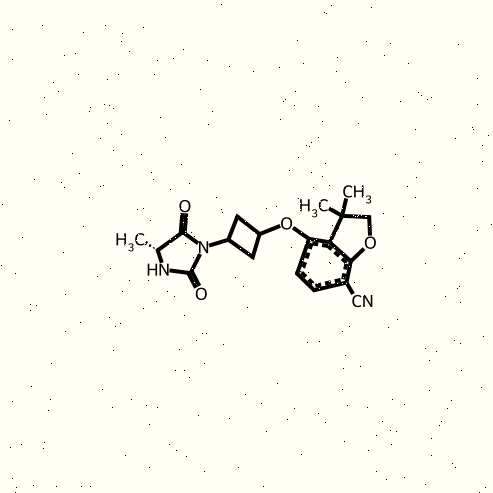 C[C@H]1NC(=O)N(C2CC(Oc3ccc(C#N)c4c3C(C)(C)CO4)C2)C1=O